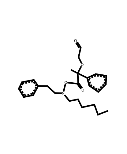 CCCCCCN(CCc1ccccc1)OC(=O)C(C)(OCC=O)c1ccccc1